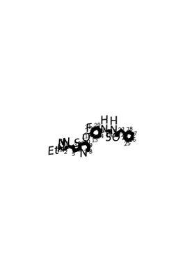 CCn1cc(-c2cc3nccc(Oc4ccc(NC(=S)NC(=O)Cc5ccccc5)cc4F)c3s2)nn1